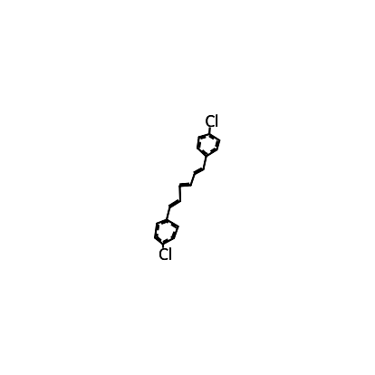 Clc1ccc(/C=C/C=C/C=C/c2ccc(Cl)cc2)cc1